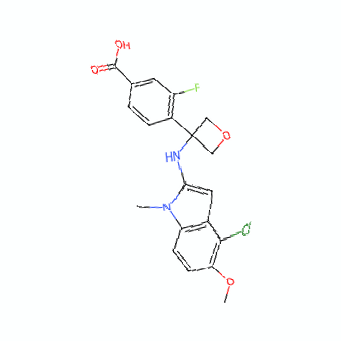 COc1ccc2c(cc(NC3(c4ccc(C(=O)O)cc4F)COC3)n2C)c1Cl